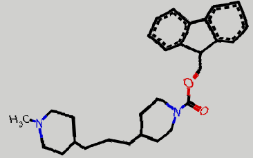 CN1CCC(CCCC2CCN(C(=O)OCC3c4ccccc4-c4ccccc43)CC2)CC1